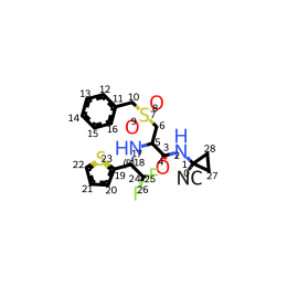 N#CC1(NC(=O)C(CS(=O)(=O)Cc2ccccc2)N[C@@H](c2cccs2)C(F)F)CC1